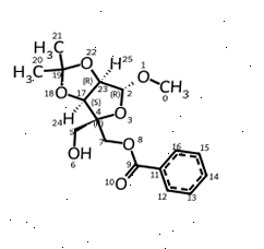 CO[C@@H]1O[C@](CO)(COC(=O)c2ccccc2)[C@H]2OC(C)(C)O[C@@H]12